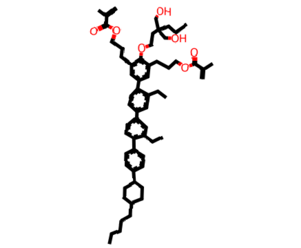 C=C(C)C(=O)OCCCc1cc(-c2ccc(-c3ccc(-c4ccc(C5CCC(CCCCC)CC5)cc4)c(CC)c3)cc2CC)cc(CCCOC(=O)C(=C)C)c1OCCC(CO)(CO)CCC